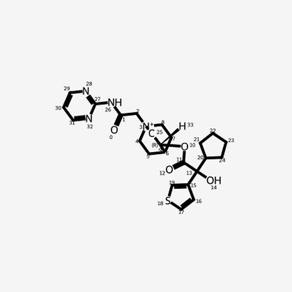 O=C(C[N+]12CCC(CC1)[C@@H](OC(=O)C(O)(c1ccsc1)C1CCCC1)C2)Nc1ncccn1